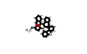 COc1ccc(N(c2ccc3ccccc3c2-c2cccc3ccccc23)c2cccc3oc4ccccc4c23)cc1